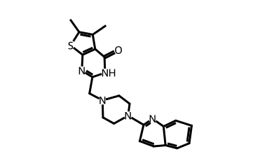 Cc1sc2nc(CN3CCN(c4ccc5ccccc5n4)CC3)[nH]c(=O)c2c1C